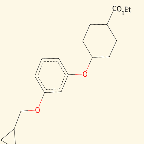 CCOC(=O)C1CCC(Oc2cccc(OCC3CC3)c2)CC1